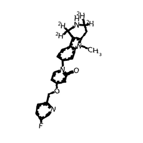 [2H]C1([2H])Cc2c(c3ccc(-n4ccc(OCc5ccc(F)cn5)cc4=O)cc3n2C)C([2H])([2H])N1